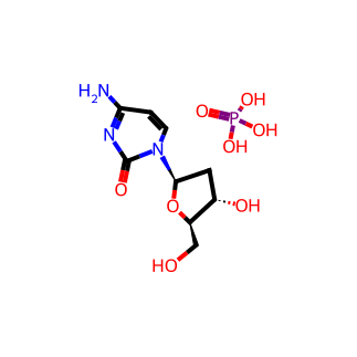 Nc1ccn([C@H]2C[C@H](O)[C@@H](CO)O2)c(=O)n1.O=P(O)(O)O